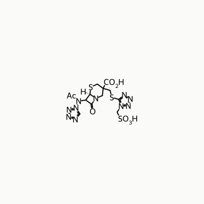 CC(=O)N(C1C(=O)N2CC(CSc3nnnn3CS(=O)(=O)O)(C(=O)O)CS[C@H]12)n1cnnn1